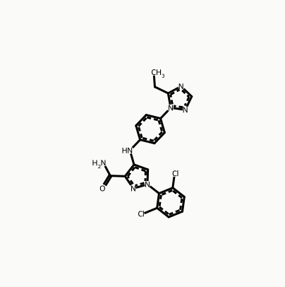 CCc1ncnn1-c1ccc(Nc2cn(-c3c(Cl)cccc3Cl)nc2C(N)=O)cc1